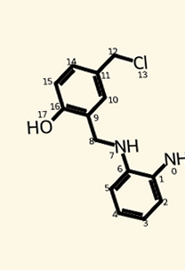 Nc1ccccc1NCc1cc(CCl)ccc1O